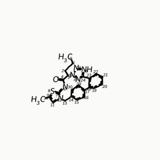 CCCCC(=O)N=c1sc(C)cn1Cc1ccc(-c2ccccc2-c2nnn[nH]2)cc1